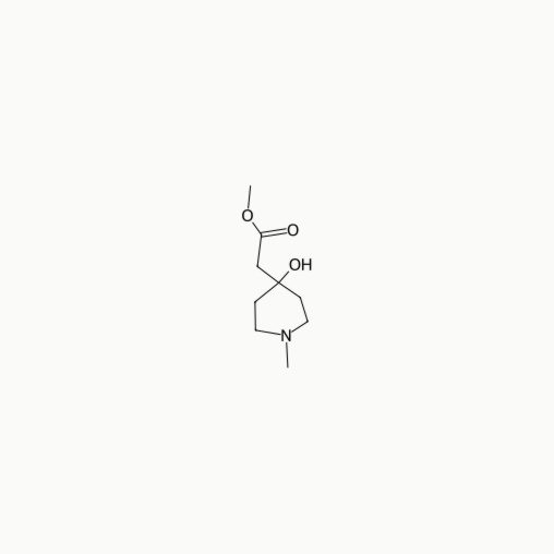 COC(=O)CC1(O)CCN(C)CC1